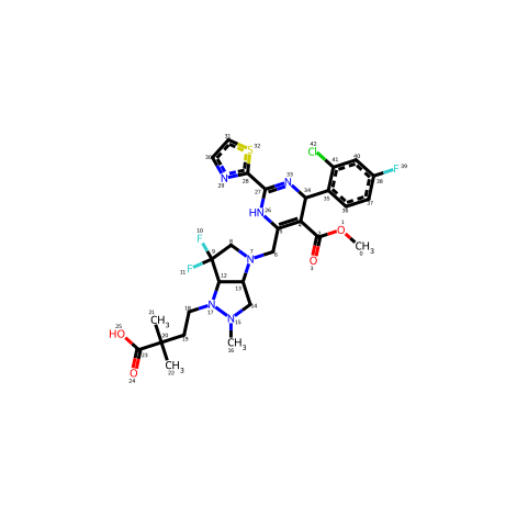 COC(=O)C1=C(CN2CC(F)(F)C3C2CN(C)N3CCC(C)(C)C(=O)O)NC(c2nccs2)=NC1c1ccc(F)cc1Cl